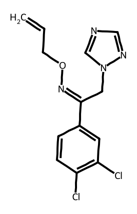 C=CCON=C(Cn1cncn1)c1ccc(Cl)c(Cl)c1